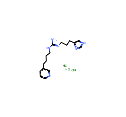 Cl.Cl.Cl.NC(=NCCCc1c[nH]cn1)NCCCCc1cccnc1